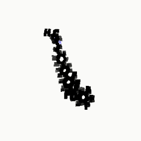 C/C=C/CCC1CCC(c2ccc(-c3ccc(C(F)(F)Oc4cc(F)c(F)c(F)c4)c(F)c3F)cc2)CC1